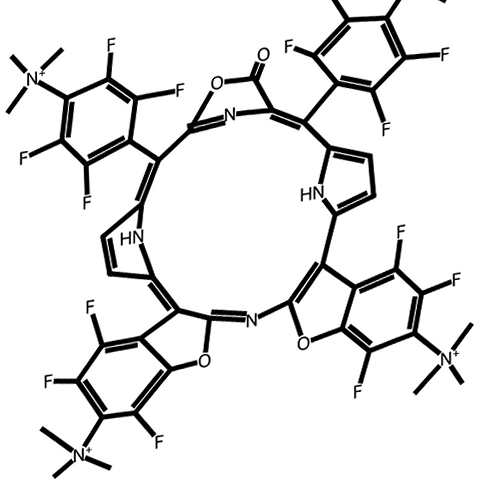 C[N+](C)(C)c1c(F)c(F)c(-c2c3nc(c(-c4c(F)c(F)c([N+](C)(C)C)c(F)c4F)c4ccc([nH]4)c4c(nc5oc6c(F)c([N+](C)(C)C)c(F)c(F)c6c5c5ccc2[nH]5)oc2c(F)c([N+](C)(C)C)c(F)c(F)c24)C(=O)O3)c(F)c1F